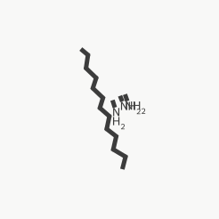 CCCCCCCCCCCCC.CN.CN.CN